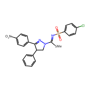 CS/C(=N\S(=O)(=O)c1ccc(Cl)cc1)N1CC(c2ccccc2)C(c2ccc([N+](=O)[O-])cc2)=N1